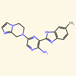 Cc1ccc2nc(-c3nc(N4CCn5ccnc5C4)cnc3N)[nH]c2c1